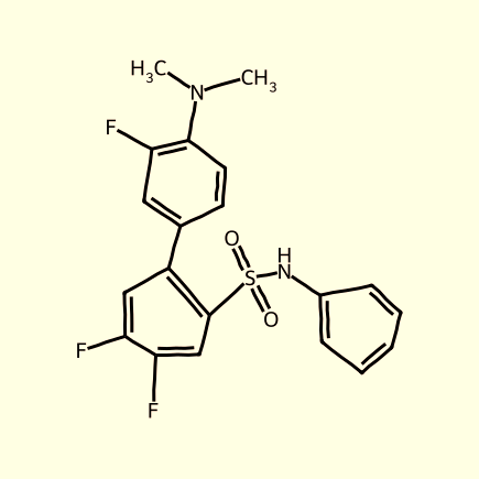 CN(C)c1ccc(-c2cc(F)c(F)cc2S(=O)(=O)Nc2ccccc2)cc1F